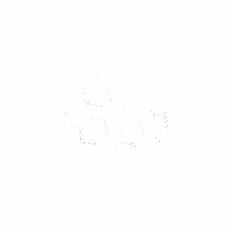 CCc1ccc(S(=O)(=O)Nc2nccnc2OCc2cccnc2)cc1